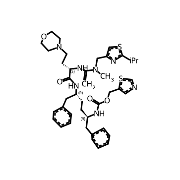 C=C(N[C@@H](CCN1CCOCC1)C(=O)N[C@H](CC[C@H](Cc1ccccc1)NC(=O)OCc1cncs1)Cc1ccccc1)N(C)Cc1csc(C(C)C)n1